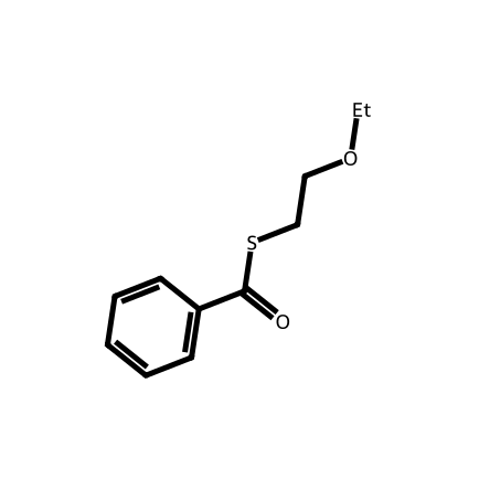 CCOCCSC(=O)c1ccccc1